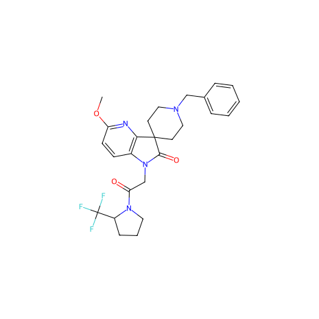 COc1ccc2c(n1)C1(CCN(Cc3ccccc3)CC1)C(=O)N2CC(=O)N1CCCC1C(F)(F)F